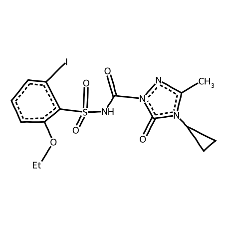 CCOc1cccc(I)c1S(=O)(=O)NC(=O)n1nc(C)n(C2CC2)c1=O